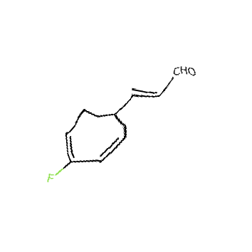 O=CC=CC1C=CC(F)=CC1